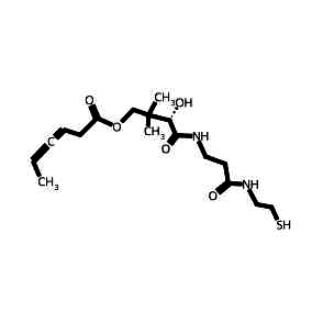 CC=C=CCC(=O)OCC(C)(C)[C@H](O)C(=O)NCCC(=O)NCCS